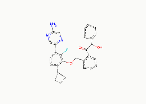 Nc1cnc(-c2ccc(C3CCC3)c(OCc3ccccc3C(=O)C(O)c3ccccc3)c2F)cn1